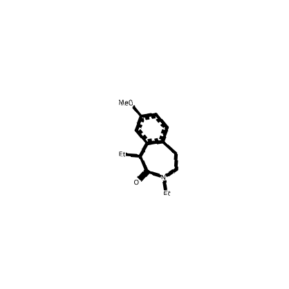 CCC1C(=O)N(CC)CCc2ccc(OC)cc21